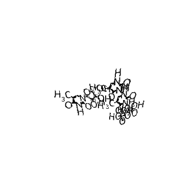 Cc1c[nH]c(=O)[nH]c1=O.Cc1c[nH]c(=O)[nH]c1=O.Cc1cn([C@@H]2O[C@H](CO)[C@@H](O)[C@H]2O)c(=O)[nH]c1=O.O=P(O)(O)OP(=O)(O)O